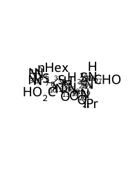 CCCCCCn1nnnc1SCC1=C(C(=O)O)N2C(=O)C(NC(=O)/C(=N\OC(C)C)c3csc(NC=O)n3)[C@H]2SC1